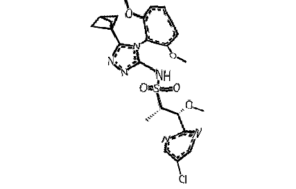 COc1cccc(OC)c1-n1c(NS(=O)(=O)[C@@H](C)[C@H](OC)c2ncc(Cl)cn2)nnc1C12CC(C1)C2